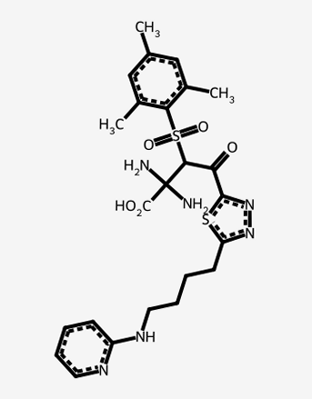 Cc1cc(C)c(S(=O)(=O)C(C(=O)c2nnc(CCCCNc3ccccn3)s2)C(N)(N)C(=O)O)c(C)c1